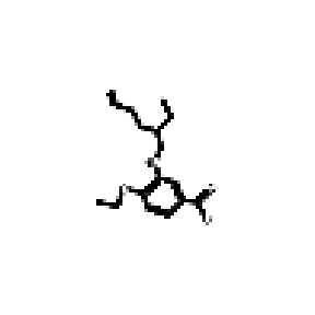 C=CCCC(CC)CNc1cc(C(=O)O)ccc1OCC